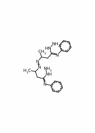 CC(CC(=Nc1ccccc1)NN)N=NC(C)CC(=Nc1ccccc1)NN